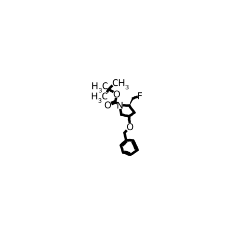 CC(C)(C)OC(=O)N1CC(OCc2ccccc2)C[C@@H]1CF